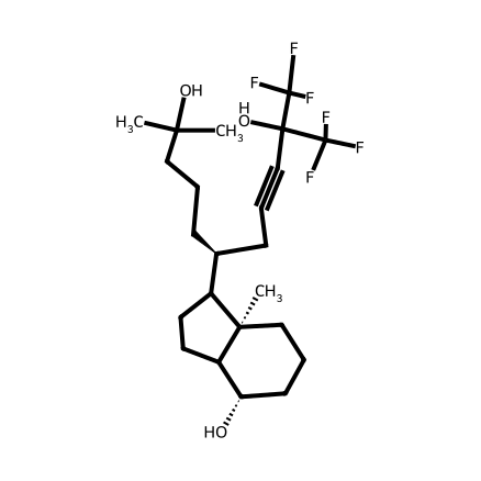 CC(C)(O)CCC[C@@H](CC#CC(O)(C(F)(F)F)C(F)(F)F)C1CCC2[C@@H](O)CCC[C@]12C